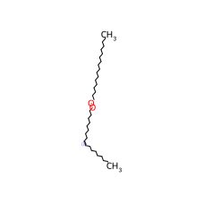 CCCCCCCC/C=C\CCCCCCCCOOCCCCCCCCCCCCCCCCCC